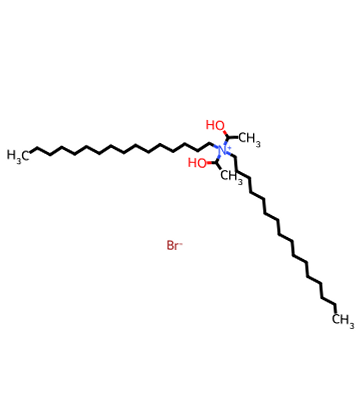 CCCCCCCCCCCCCCCC[N+](CCCCCCCCCCCCCCCC)(C(C)O)C(C)O.[Br-]